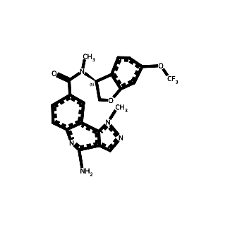 CN(C(=O)c1ccc2nc(N)c3cnn(C)c3c2c1)[C@@H]1COc2cc(OC(F)(F)F)ccc21